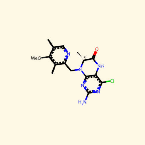 COc1c(C)cnc(CN2c3nc(N)nc(Cl)c3NC(=O)[C@H]2C)c1C